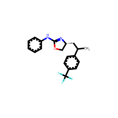 CC(C[C@@H]1COC(Nc2ccccc2)=N1)c1ccc(C(F)(F)F)cc1